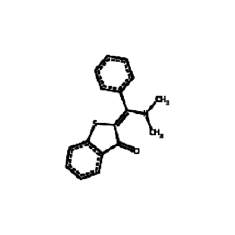 CN(C)C(=C1Sc2ccccc2C1=O)c1ccccc1